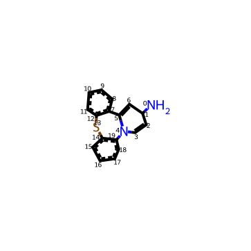 NC1C=CN2C(=C1)c1ccccc1Sc1ccccc12